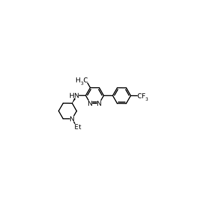 CCN1CCC[C@@H](Nc2nnc(-c3ccc(C(F)(F)F)cc3)cc2C)C1